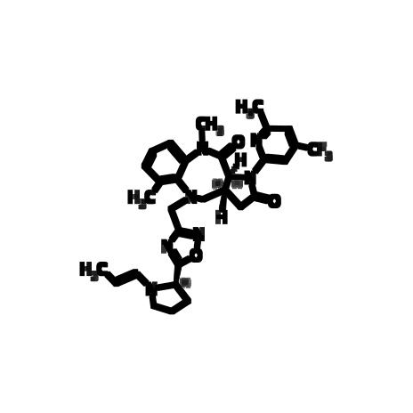 CC=CN1CCC[C@@H]1c1nc(CN2C[C@H]3CC(=O)N(c4cc(C(F)(F)F)cc(C)n4)[C@@H]3C(=O)N(C)c3cccc(C)c32)no1